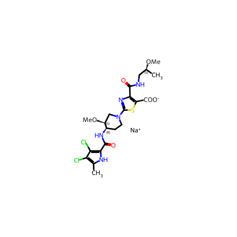 CO[C@H]1CN(c2nc(C(=O)NC[C@H](C)OC)c(C(=O)[O-])s2)CC[C@H]1NC(=O)c1[nH]c(C)c(Cl)c1Cl.[Na+]